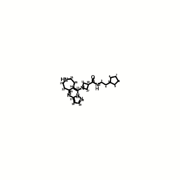 O=C(NCCC1CCCC1)C1CN(c2c3c(nc4ccnn24)CCNCC3)C1